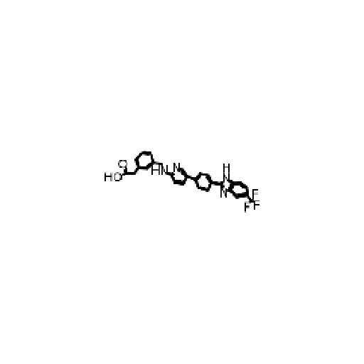 O=C(O)Cc1cccc(CNc2ccc(-c3ccc(-c4nc5cc(C(F)(F)F)ccc5[nH]4)cc3)cn2)c1